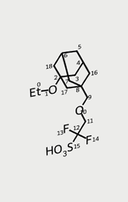 CCOC12CC3CC(CC(COCC(F)(F)S(=O)(=O)O)(C3)C1)C2